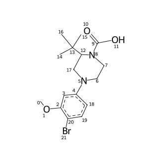 COc1cc(N2CCN(C(=O)O)C(C(C)(C)C)C2)ccc1Br